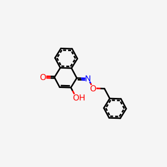 O=C1C=C(O)C(=NOCc2ccccc2)c2ccccc21